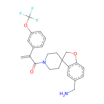 C=C(C(=O)N1CCC2(CC1)COc1ccc(CN)cc12)c1cccc(OC(F)(F)F)c1